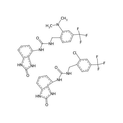 CN(C)c1cc(C(F)(F)F)ccc1CNC(=O)Nc1cccc2[nH]c(=O)[nH]c12.O=C(NCc1ccc(C(F)(F)F)cc1Cl)Nc1cccc2[nH]c(=O)[nH]c12